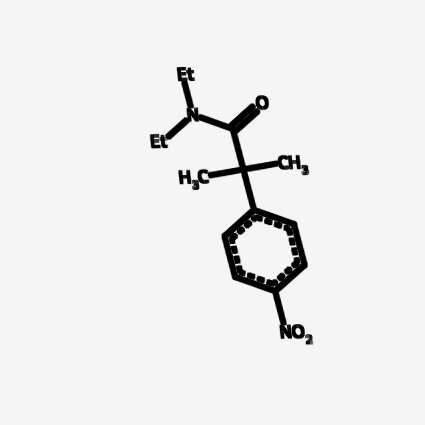 CCN(CC)C(=O)C(C)(C)c1ccc([N+](=O)[O-])cc1